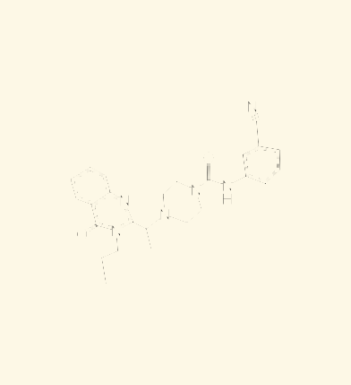 CCCn1c(C(C)N2CCN(C(=O)Nc3cccc(C#N)c3)CC2)nc2ccccc2c1=O